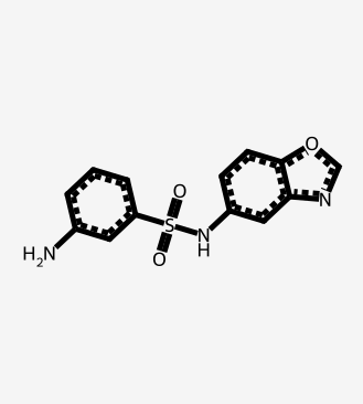 Nc1cccc(S(=O)(=O)Nc2ccc3ocnc3c2)c1